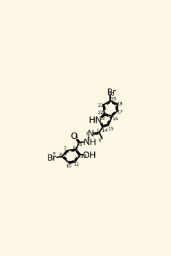 C/C(=N\NC(=O)c1cc(Br)ccc1O)c1cc2ccc(Br)cc2[nH]1